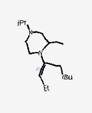 CC/C=C(\CC(C)(C)C)N1CCN(C(C)C)CC1C